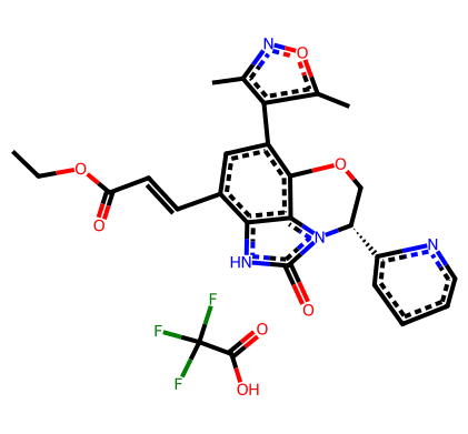 CCOC(=O)/C=C/c1cc(-c2c(C)noc2C)c2c3c1[nH]c(=O)n3[C@@H](c1ccccn1)CO2.O=C(O)C(F)(F)F